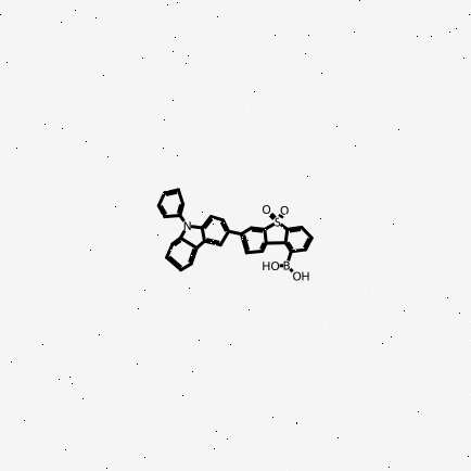 O=S1(=O)c2cc(-c3ccc4c(c3)c3ccccc3n4-c3ccccc3)ccc2-c2c(B(O)O)cccc21